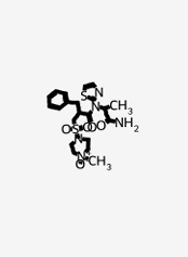 CC(C(N)=O)N(C(=O)C(Cc1ccccc1)CS(=O)(=O)N1CC[N+](C)([O-])CC1)c1nccs1